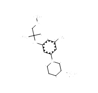 CC(C)(C)OCC(C)(C=O)Oc1cc(C#N)cc(N2CCC[C@@H](C(=O)O)C2)c1